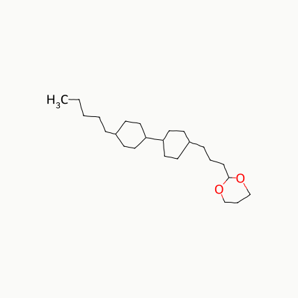 CCCCCC1CCC(C2CCC(CCCC3OCCCO3)CC2)CC1